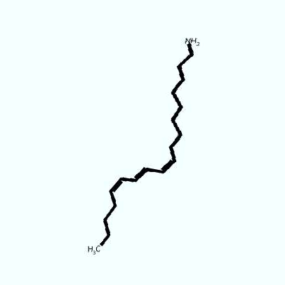 CCCC\C=C/C=C/C=C\CCCCCCCCN